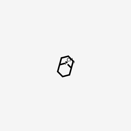 CP1C2CCCC1CCC2